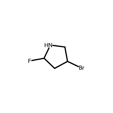 FC1CC(Br)CN1